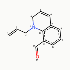 C=CCN1CC=Cc2cccc(C=O)c21